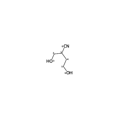 N#CC(CO)CCO